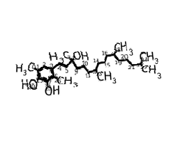 Cc1cc(CCC(C)(O)CCCC(C)CCCC(C)CCCC(C)C)c(C)c(O)c1O